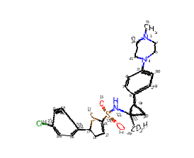 CN1CCN(c2ccc(C3CC3(NS(=O)(=O)C3=CCC(c4ccc(Cl)cc4)S3)C(=O)O)cc2)CC1